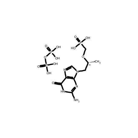 C[C@H](Cn1cnc2c(=O)[nH]c(N)nc21)OCP(=O)(O)O.O=P(O)(O)OP(=O)(O)O